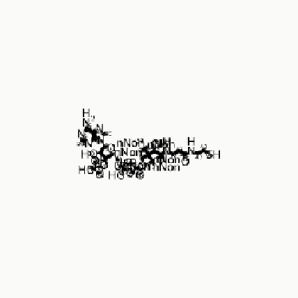 CCCCCCCCCC(CCCCCCCCC)(CCCCCCCCC)C(COP(=O)(O)OP(=O)(O)OC[C@H]1O[C@@H](n2cnc3c(N)ncnc32)[C@H](O)[C@@H]1OP(=O)(O)O)([C@@H](O)C(=O)NCCC(=O)NCCS)C(CCCCCCCCC)(CCCCCCCCC)CCCCCCCCC